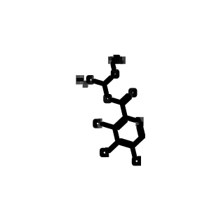 CCCCOC(C)OC(=O)c1ncc(Cl)c(Cl)c1Cl